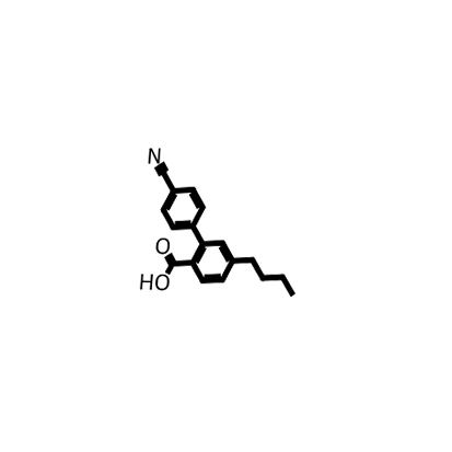 CCCCc1ccc(C(=O)O)c(-c2ccc(C#N)cc2)c1